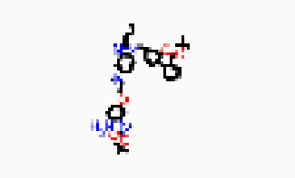 CCCc1nc2cc(N(C)CCOc3ccc(N)c(N(C)C(=O)OC(C)(C)C)c3)ccc2n1Cc1ccc(-c2ccccc2C(=O)OC(C)(C)C)cc1